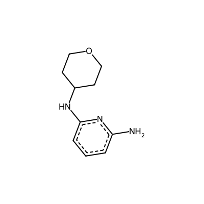 Nc1cccc(NC2CCOCC2)n1